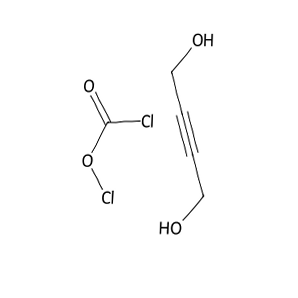 O=C(Cl)OCl.OCC#CCO